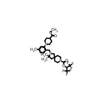 COC(=O)C1CCN(c2cc(C)ccc2CN2CC3(CCN(C(=O)OC(C(F)(F)F)C(F)(F)F)CC3)CC2(C)C)CC1